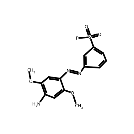 COc1cc(N=Nc2cccc(S(=O)(=O)F)c2)c(OC)cc1N